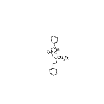 CCOC(=O)C(CCc1ccccc1)CP(=O)(CSc1ccccc1)OCC